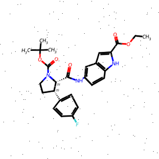 CCOC(=O)c1cc2cc(NC(=O)[C@@H]3[C@H](c4ccc(F)cc4)CCN3C(=O)OC(C)(C)C)ccc2[nH]1